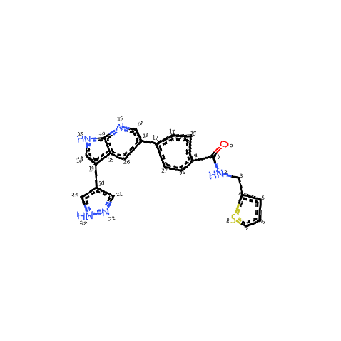 O=C(NCc1cccs1)c1ccc(-c2cnc3[nH]cc(-c4cn[nH]c4)c3c2)cc1